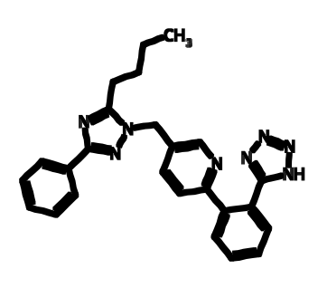 CCCCc1nc(-c2ccccc2)nn1Cc1ccc(-c2ccccc2-c2nnn[nH]2)nc1